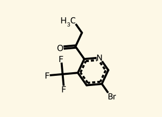 CCC(=O)c1ncc(Br)cc1C(F)(F)F